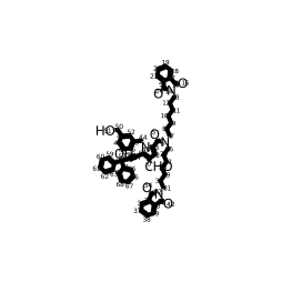 O=Cc1cc(C(=O)N(CCCCCCCN2C(=O)c3ccccc3C2=O)CCCCCCCN2C(=O)c3ccccc3C2=O)n(Cc2cccc(CO)c2)c1C#CC(O)(c1ccccc1)c1ccccc1